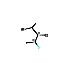 CC[C@@H](C(C)C(C)C)[C@H](C)F